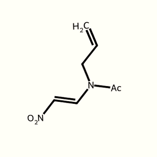 C=CCN(C=C[N+](=O)[O-])C(C)=O